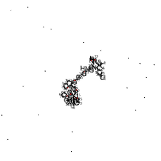 Cc1sc2c(c1C)C(c1ccc(Cl)cc1)=N[C@@H](CC(=O)NCCOCCOCCOc1ccc3ccccc3c1-c1csc(C3CCCN3C(=O)[C@@H](NC(=O)[C@H](C)N(C)C(=O)OC(C)(C)C)C3CCCCC3)n1)c1nnc(C)n1-2